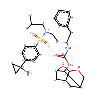 CC(C)CN(CC[C@H](Cc1ccccc1)NC(=O)OC1C2COC3OC1CC3C2)S(=O)(=O)c1ccc(C2(N)CC2)cc1